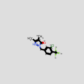 Cc1[nH]n(Cc2ccc(C(F)(F)F)c(Cl)c2)c(=O)c1C